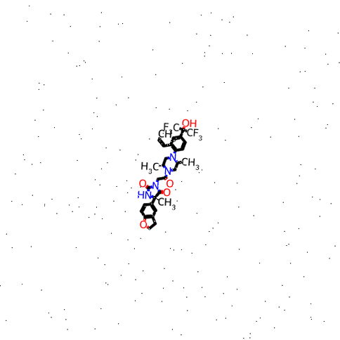 C/C=C\c1cc(C(O)(C(F)(F)F)C(F)(F)F)ccc1N1C[C@H](C)N(C(=O)CN2C(=O)N[C@](C)(c3ccc4c(c3)CCO4)C2=O)CC1C